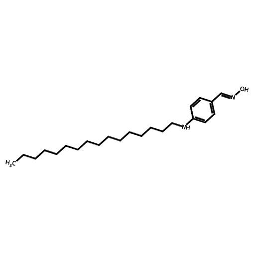 CCCCCCCCCCCCCCCCNc1ccc(/C=N/O)cc1